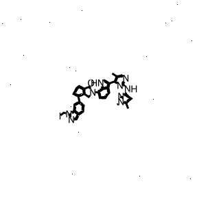 Cc1cnc(Nc2cc(C)n(C)n2)nc1-c1c[nH]c2c(N3Cc4c(cccc4-c4ccc5cnn(CI)c5c4)C3=O)cccc12